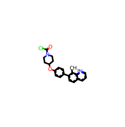 Cc1c(-c2ccc(OC3CCN(C(=O)Cl)CC3)cc2)ccc2cccnc12